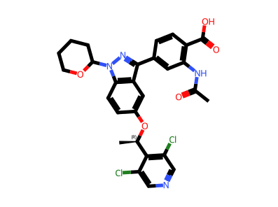 CC(=O)Nc1cc(-c2nn(C3CCCCO3)c3ccc(O[C@H](C)c4c(Cl)cncc4Cl)cc23)ccc1C(=O)O